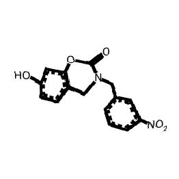 O=C1Oc2cc(O)ccc2CN1Cc1cccc([N+](=O)[O-])c1